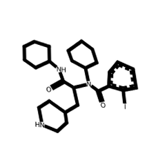 O=C(NC1CCCCC1)C(CC1CCNCC1)N(C(=O)c1ccccc1I)C1CCCCC1